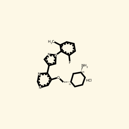 Cc1cccc(F)c1-n1cc(-c2ncncc2OC[C@H]2CCC[C@@H](N)C2)cn1.Cl